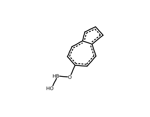 OBOc1ccc2cccc-2cc1